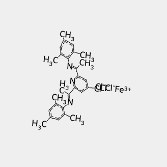 CC(=Nc1c(C)cc(C)cc1C)c1cc(Cl)cc(C(C)=Nc2c(C)cc(C)cc2C)n1.[Cl-].[Cl-].[Cl-].[Fe+3]